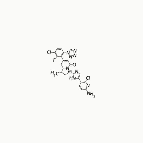 CC1C[C@@H](c2ncc(-c3ccc(N)nc3Cl)[nH]2)N2C(=O)C=C(c3c(-n4cnnn4)ccc(Cl)c3F)CC12